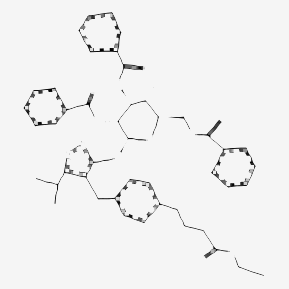 CCOC(=O)CCCc1ccc(Cc2c(C(C)C)n[nH]c2O[C@@H]2O[C@H](COC(=O)c3ccccc3)[C@@H](F)[C@H](OC(=O)c3ccccc3)[C@H]2OC(=O)c2ccccc2)cc1